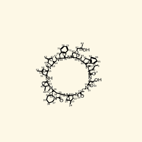 CC[C@H](C)[C@H]1C(=O)N[C@@H]([C@@H](C)O)C(=O)N(C)CC(=O)N(C)[C@@H](CC(C)C)C(=O)N[C@H](C(=O)N2CCCCC2)CC(=O)N(C)[C@@H](C(C)C)C(=O)N[C@@H](CC(C)C)C(=O)N(C)[C@@H](CC(C)C)C(=O)N(C)[C@@H](Cc2ccccc2)C(=O)NC(COC[C@@H](C)O)C(=O)N(C)[C@@H](Cc2ccccc2)C(=O)N1C